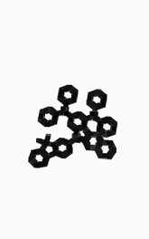 CC1(C)c2ccccc2-c2ccc(-n3c4cc5ccccc5cc4c4c(N(c5ccccc5)c5ccccc5)cc(N(c5ccccc5)c5ccccc5)cc43)cc21